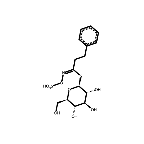 O=S(=O)(O)ON=C(CCc1ccccc1)S[C@@H]1O[C@H](CO)[C@@H](O)[C@H](O)[C@H]1O